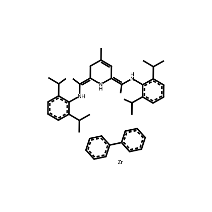 CC1=C/C(=C(/C)Nc2c(C(C)C)cccc2C(C)C)N/C(=C(/C)Nc2c(C(C)C)cccc2C(C)C)C1.[Zr].c1ccc(-c2ccccc2)cc1